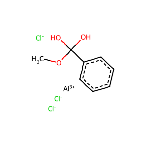 COC(O)(O)c1ccccc1.[Al+3].[Cl-].[Cl-].[Cl-]